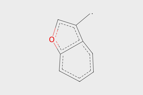 [CH2]c1coc2ccccc12